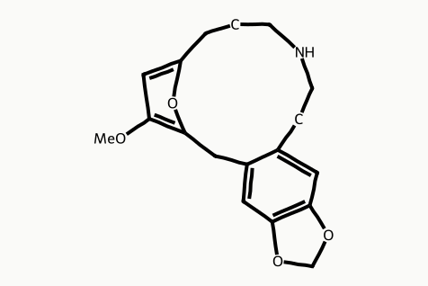 COc1cc2oc1Cc1cc3c(cc1CCNCCC2)OCO3